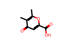 Cc1oc(C(=O)O)cc(=O)c1C